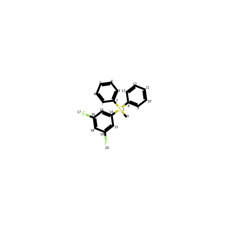 CS(c1ccccc1)(c1ccccc1)c1cc(F)cc(F)c1